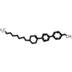 CCCCCCCCC1CC=C(c2ccc(-c3ccc(CC)cc3)cc2)CC1